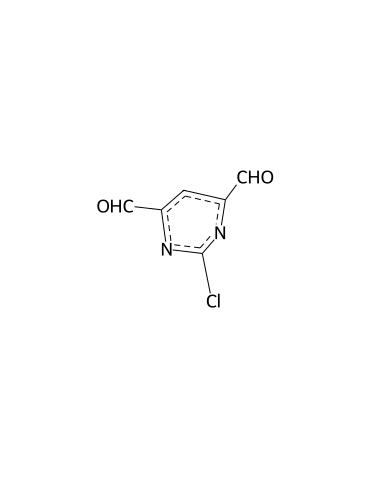 O=Cc1cc(C=O)nc(Cl)n1